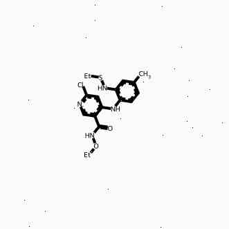 CCONC(=O)c1cnc(Cl)cc1Nc1ccc(C)cc1NSCC